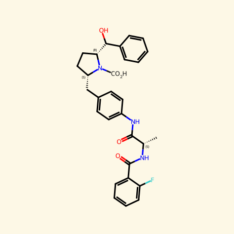 C[C@H](NC(=O)c1ccccc1F)C(=O)Nc1ccc(C[C@@H]2CC[C@H](C(O)c3ccccc3)N2C(=O)O)cc1